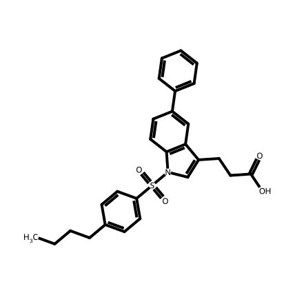 CCCCc1ccc(S(=O)(=O)n2cc(CCC(=O)O)c3cc(-c4ccccc4)ccc32)cc1